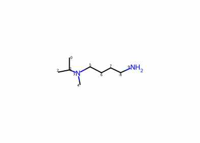 CC(C)N(C)CCCCN